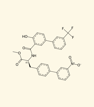 COC(=O)[C@H](Cc1ccc(-c2cccc([N+](=O)[O-])c2)cc1)NC(=O)c1cc(-c2cccc(C(F)(F)F)c2)ccc1O